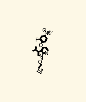 C=C(C)c1cn(COCC[Si](C)(C)C)c2nccc(Oc3ccc([N+](=O)[O-])cc3F)c12